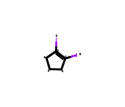 IC1=C(I)CCC1